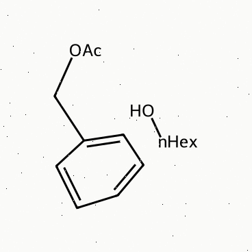 CC(=O)OCc1ccccc1.CCCCCCO